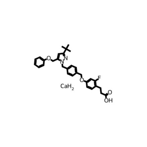 CC(C)(C)c1cc(COc2ccccc2)n(Cc2ccc(COc3ccc(CCC(=O)O)c(F)c3)cc2)n1.[CaH2]